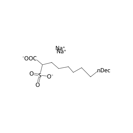 CCCCCCCCCCCCCCCCC(C(=O)[O-])S(=O)(=O)[O-].[Na+].[Na+]